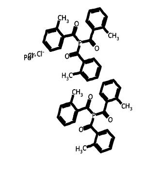 Cc1ccccc1C(=O)P(C(=O)c1ccccc1C)C(=O)c1ccccc1C.Cc1ccccc1C(=O)P(C(=O)c1ccccc1C)C(=O)c1ccccc1C.[Cl-].[Cl-].[Pd+2]